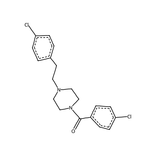 O=C(c1ccc(Cl)cc1)N1CCN(CCc2ccc(Cl)cc2)CC1